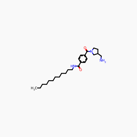 CCCCCCCCCCCCNC(=O)c1ccc(C(=O)N2CCC(CN)C2)cc1